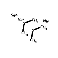 CSC.CSC.[Na+].[Na+].[Se-2]